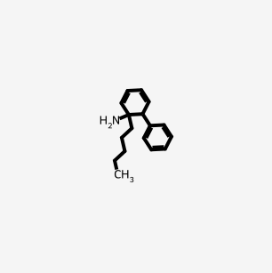 CCCCCC1(N)C=CC=CC1c1ccccc1